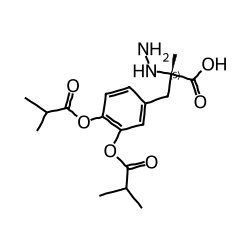 CC(C)C(=O)Oc1ccc(C[C@](C)(NN)C(=O)O)cc1OC(=O)C(C)C